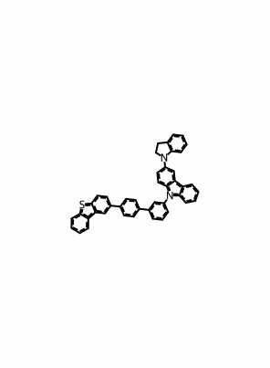 c1cc(-c2ccc(-c3ccc4sc5ccccc5c4c3)cc2)cc(-n2c3ccccc3c3cc(N4CCc5ccccc54)ccc32)c1